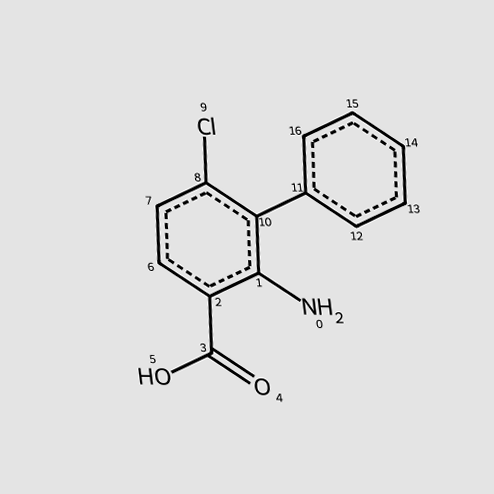 Nc1c(C(=O)O)ccc(Cl)c1-c1ccccc1